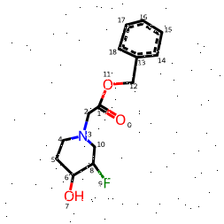 O=C(CN1CCC(O)C(F)C1)OCc1ccccc1